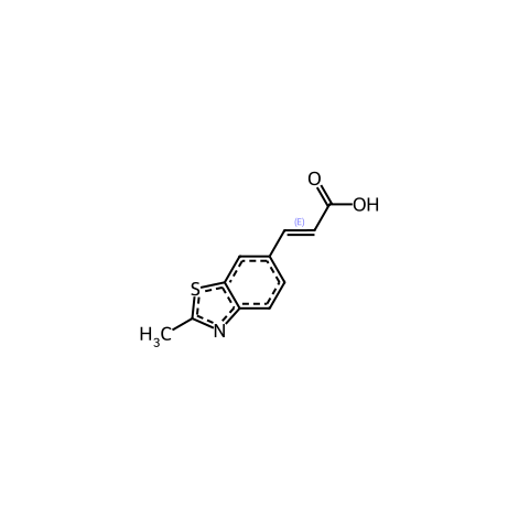 Cc1nc2ccc(/C=C/C(=O)O)cc2s1